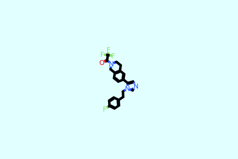 O=C(N1CCc2cc(-c3cncn3CCc3ccc(F)cc3)ccc2C1)C(F)(F)F